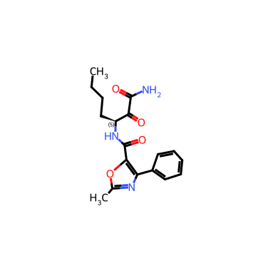 CCCC[C@H](NC(=O)c1oc(C)nc1-c1ccccc1)C(=O)C(N)=O